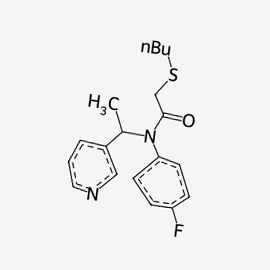 CCCCSCC(=O)N(c1ccc(F)cc1)C(C)c1cccnc1